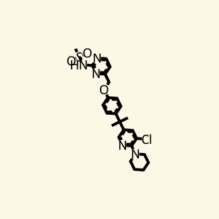 CC(C)(c1ccc(OCc2ccnc(NS(C)(=O)=O)n2)cc1)c1cnc(N2CCCCC2)c(Cl)c1